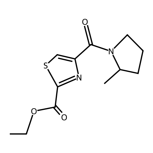 CCOC(=O)c1nc(C(=O)N2CCCC2C)cs1